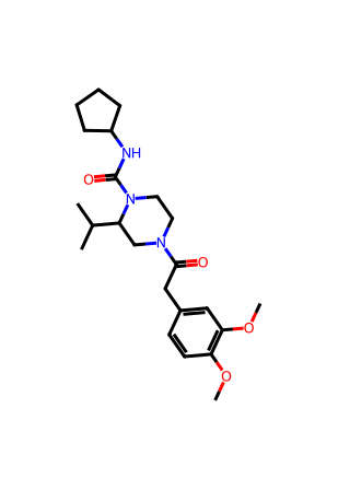 COc1ccc(CC(=O)N2CCN(C(=O)NC3CCCC3)C(C(C)C)C2)cc1OC